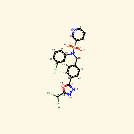 O=S(=O)(c1cccnc1)N(Cc1ccc(-c2nnc(C(F)F)o2)cc1)c1cccc(F)c1